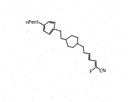 CCCCCc1ccc(CCC2CCC(CCC=CC=C(F)C#N)CC2)cc1